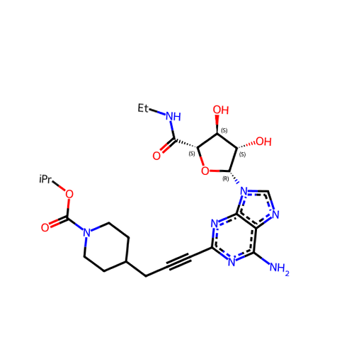 CCNC(=O)[C@H]1O[C@@H](n2cnc3c(N)nc(C#CCC4CCN(C(=O)OC(C)C)CC4)nc32)[C@@H](O)[C@@H]1O